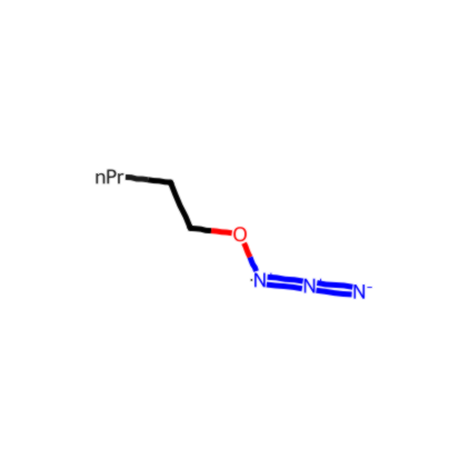 CCCCCO[N+]=[N+]=[N-]